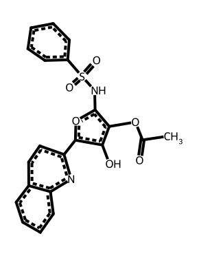 CC(=O)Oc1c(NS(=O)(=O)c2ccccc2)oc(-c2ccc3ccccc3n2)c1O